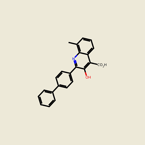 Cc1cccc2c(C(=O)O)c(O)c(-c3ccc(-c4ccccc4)cc3)nc12